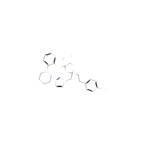 CC[C@]1(Sc2ccccc2N2CCCCC2)CO[C@](CCc2ccc(Cl)cc2)(Cn2ccnc2)O1